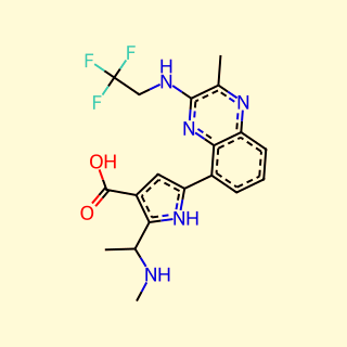 CNC(C)c1[nH]c(-c2cccc3nc(C)c(NCC(F)(F)F)nc23)cc1C(=O)O